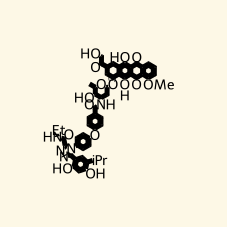 CCNC(=O)c1nnc(-c2cc(C(C)C)c(O)cc2O)n1-c1ccc(Oc2ccc(C(=O)NC3CC(O[C@H]4CC(C(=O)CO)Cc5c(O)c6c(c(O)c54)C(=O)c4c(OC)cccc4C6=O)OC(C)C3O)cc2)cc1